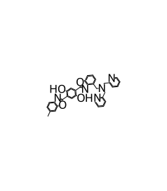 Cc1ccc2nc(-c3cc(O)c(-c4nc5c(CN(Cc6ccccn6)Cc6ccccn6)cccc5o4)cc3O)oc2c1